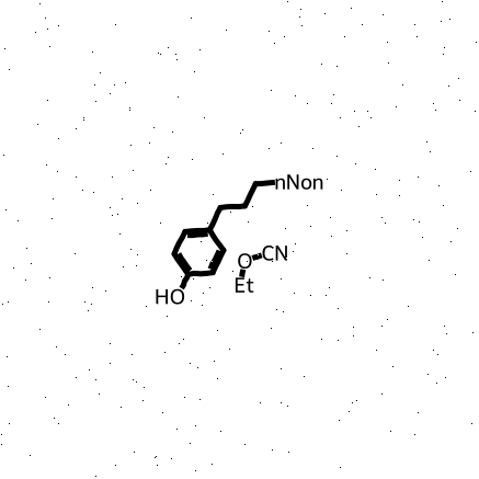 CCCCCCCCCCCCc1ccc(O)cc1.CCOC#N